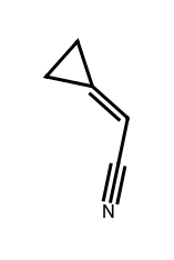 N#CC=C1CC1